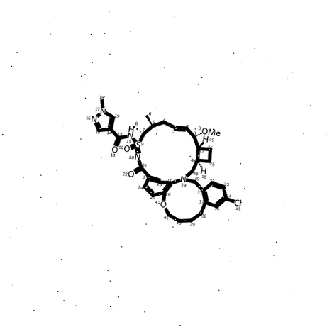 CO[C@H]1/C=C/C[C@H](C)[C@@H](C)S(=O)(NC(=O)c2cnn(C)c2)=NC(=O)c2ccc3c(c2)N(Cc2ccc(Cl)cc2CCCCO3)C[C@@H]2CC[C@H]21